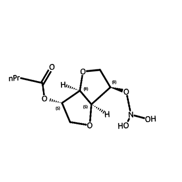 CCCC(=O)O[C@H]1CO[C@H]2[C@@H]1OC[C@H]2ON(O)O